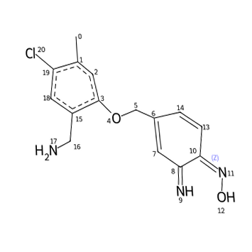 Cc1cc(OCC2=CC(=N)/C(=N\O)C=C2)c(CN)cc1Cl